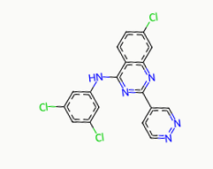 Clc1cc(Cl)cc(Nc2nc(-c3ccnnc3)nc3cc(Cl)ccc23)c1